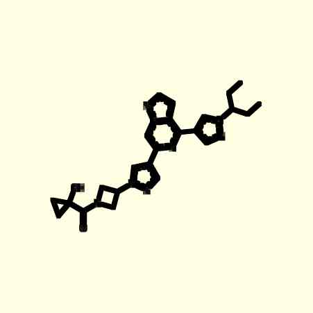 CCC(CC)n1cc(-c2nc(-c3cnn(C4CN(C(=O)C5(O)CC5)C4)c3)cn3nccc23)cn1